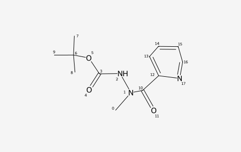 CN(NC(=O)OC(C)(C)C)C(=O)c1ccccn1